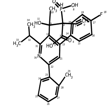 C#CC(C(=O)O)([PH](=O)O)C(C)(O)c1c(-c2ccc(F)cc2)cc(-c2ccccc2C)nc1C(C)C